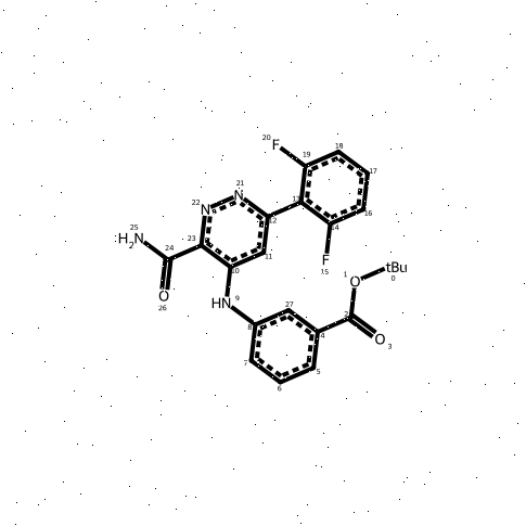 CC(C)(C)OC(=O)c1cccc(Nc2cc(-c3c(F)cccc3F)nnc2C(N)=O)c1